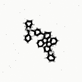 C1=CC2=C(CC1)C1(c3ccccc3-c3c1ccc1c3oc3ccccc31)c1cccc(-c3ccc(-n4c(-c5ccccc5)nc5ccccc54)cc3)c12